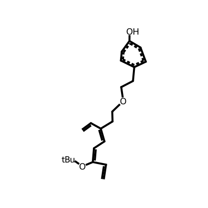 C=C/C(=C\C=C(/C=C)OC(C)(C)C)CCOCCc1ccc(O)cc1